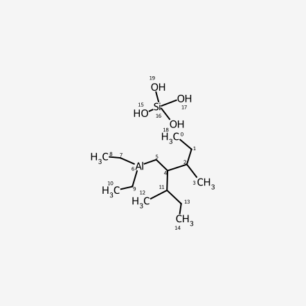 CCC(C)C([CH2][Al]([CH2]C)[CH2]C)C(C)CC.O[Si](O)(O)O